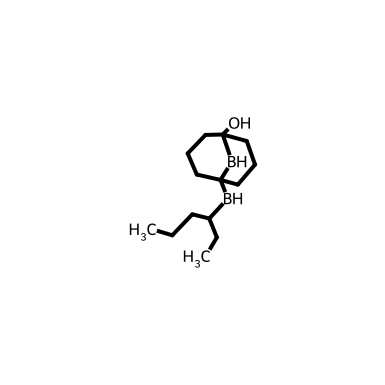 CCCC(BC12BC(O)(CCC1)CCC2)CC